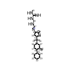 CNC(=N)NCN/C=N/c1cc(C(C)(C)c2ccc(-c3ccccc3)c(F)c2)no1